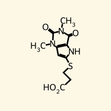 Cn1c(=O)c2[nH]c(SCCC(=O)O)cc2n(C)c1=O